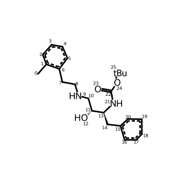 Cc1ccccc1CCNC[C@@H](O)[C@H](Cc1ccccc1)NC(=O)OC(C)(C)C